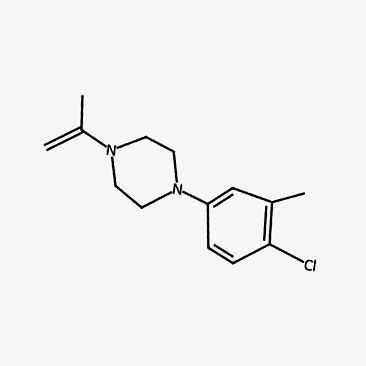 C=C(C)N1CCN(c2ccc(Cl)c(C)c2)CC1